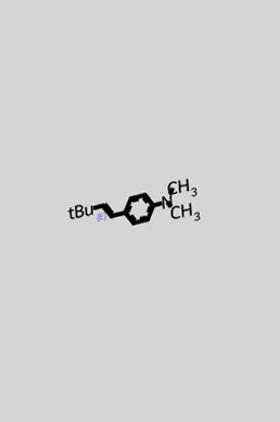 CN(C)c1ccc(/C=C/C(C)(C)C)cc1